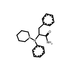 NC(=O)C(Cc1ccccc1)N(c1ccccc1)N1CCCCC1